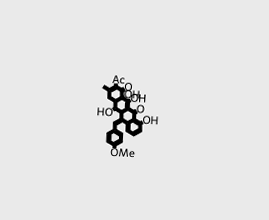 COc1ccc(/C=C2\c3cccc(O)c3C(=O)C3=C(O)C4(O)C(=O)C(C(C)=O)=C(C)CC4C(O)C32)cc1